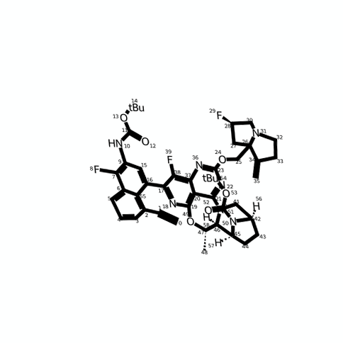 C#Cc1cccc2c(F)c(NC(=O)OC(C)(C)C)cc(-c3nc4c5c(nc(OCC67C[C@@H](F)CN6CCC7=C)nc5c3F)N3C[C@H]5CC[C@@H]([C@H]3[C@H](C)O4)N5C(=O)OC(C)(C)C)c12